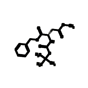 COC(=O)C[C@H](NC(=O)OC(C)(C)C)C(=O)OCc1ccccc1